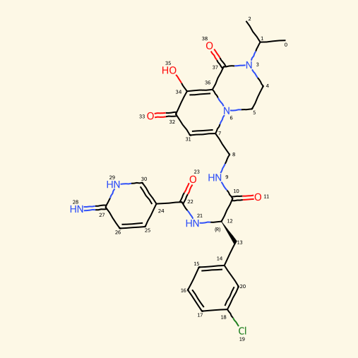 CC(C)N1CCn2c(CNC(=O)[C@@H](Cc3cccc(Cl)c3)NC(=O)c3ccc(=N)[nH]c3)cc(=O)c(O)c2C1=O